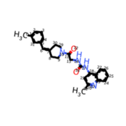 Cc1cccc(C=C2CCN(C(=O)CNC(=O)Nc3cc(C)nc4ccccc34)CC2)c1